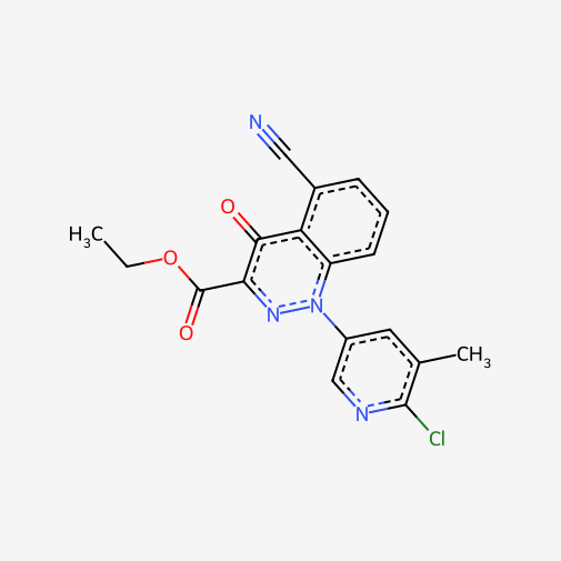 CCOC(=O)c1nn(-c2cnc(Cl)c(C)c2)c2cccc(C#N)c2c1=O